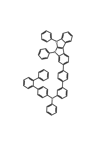 c1ccc(-c2ccccc2-c2ccc(N(c3ccccc3)c3cccc(-c4ccc(-c5ccc6c7c8ccccc8n(-c8ccccc8)c7n(-c7ccccc7)c6c5)cc4)c3)cc2)cc1